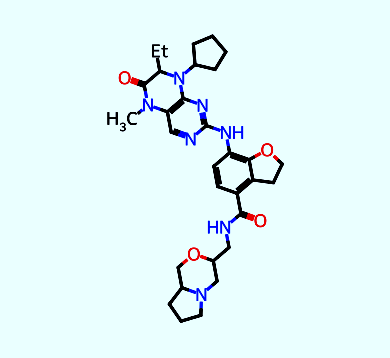 CCC1C(=O)N(C)c2cnc(Nc3ccc(C(=O)NCC4CN5CCCC5CO4)c4c3OCC4)nc2N1C1CCCC1